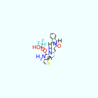 CC(C)C[C@@H](/C=C/C(=O)N1[C@@H]2CC[C@H]1c1ccccc12)N[C@@H](Cc1cccs1)C(N)=O.O=C(O)C(F)(F)F